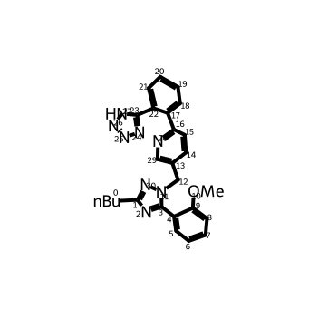 CCCCc1nc(-c2ccccc2OC)n(Cc2ccc(-c3ccccc3-c3nnn[nH]3)nc2)n1